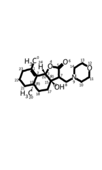 CC1=C2[C@@H]3OC(=O)C(CN4CCOCC4)[C@]3(O)CC[C@@]2(C)CCC1